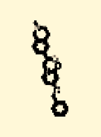 CN1CCc2cc(C(=O)Cn3ccc(OCc4ccccc4)cc3=O)ccc2C1